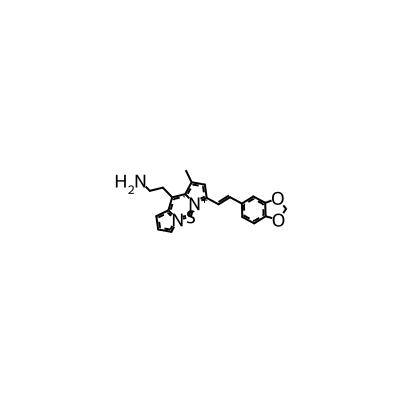 Cc1cc(/C=C/c2ccc3c(c2)OCO3)[n+]2sn3cccc3c(CCN)c1-2